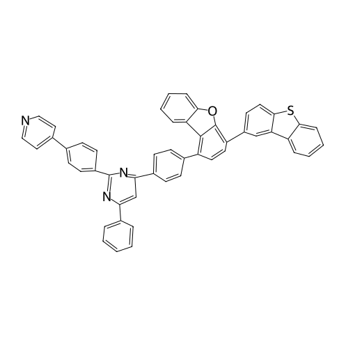 c1ccc(-c2cc(-c3ccc(-c4ccc(-c5ccc6sc7ccccc7c6c5)c5oc6ccccc6c45)cc3)nc(-c3ccc(-c4ccncc4)cc3)n2)cc1